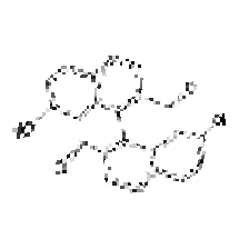 O=Cc1ccc2ccc(O)cc2c1-c1c(C=O)ccc2ccc(O)cc12